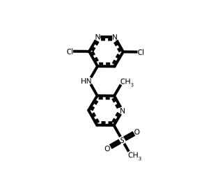 Cc1nc(S(C)(=O)=O)ccc1Nc1cc(Cl)nnc1Cl